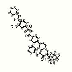 C[C@H]1[C@@H](N(Cc2ccc(-c3ccc(C(=O)NS(=O)(=O)c4ccc(NCC5CCCCC5)c([N+](=O)[O-])c4)cc3)cc2)C(=O)CCc2ccccc2)C[C@H]2C[C@@H]1C2(C)C